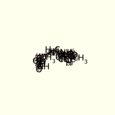 Cc1cc(Nc2ncc(Cl)c(Nc3ccccc3S(=O)(=O)C(C)C)n2)c(OC(C)C)cc1C1CCN(CCCCCOc2cccc3c2C(=O)N(C2CCC(=O)NC2=O)C3=O)CC1